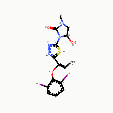 CCCC=C(Oc1c(I)cccc1I)c1nnc(N2C(=O)N(C)CC2O)s1